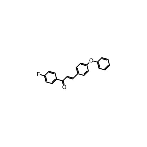 O=C(C=Cc1ccc(Oc2ccccc2)cc1)c1ccc(F)cc1